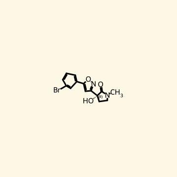 CN1CC[C@@](O)(c2cc(-c3cccc(Br)c3)on2)C1=O